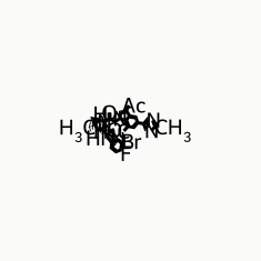 CC(=O)c1cn(CC(=O)N2[C@H](C(=O)Nc3ccc(F)c(Br)n3)C[C@@]3(C)C[C@@H]23)c2c(C)cc(-c3cnc(C)nc3)cc12